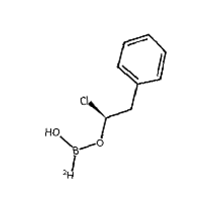 [2H]B(O)O[C@@H](Cl)Cc1ccccc1